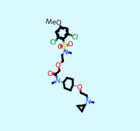 COc1cc(Cl)c(S(=O)(=O)N(C)CCOCC(=O)N(C)[C@H]2CC[C@@H](OCCN(C)C3CC3)CC2)c(Cl)c1